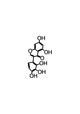 O=c1c(-c2ccc(O)c(O)c2O)coc2cc(O)cc(O)c12